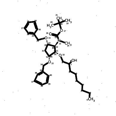 CCCCCCCC(O)CO[C@H]1[C@H](N(C)C(=O)OC(C)(C)C)[C@@H](OCc2ccccc2)C[C@H]1OCc1ccccc1